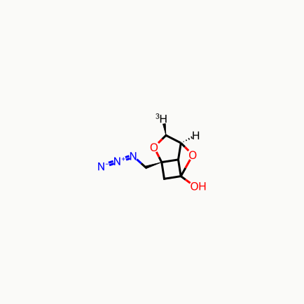 [3H][C@@H]1O[C@@]2(CN=[N+]=[N-])CC3(O)O[C@H]1C32